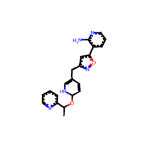 CC(OC1C=CC(Cc2cc(-c3cccnc3N)on2)=CN1)c1ccccn1